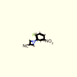 N#CC1CN(c2cc([N+](=O)[O-])ccc2F)C1